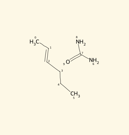 CC=CCCC.NC(N)=O